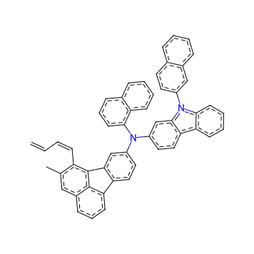 C=C/C=C\c1c(C)cc2cccc3c2c1-c1cc(N(c2ccc4c5ccccc5n(-c5ccc6ccccc6c5)c4c2)c2cccc4ccccc24)ccc1-3